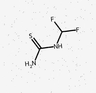 NC(=S)NC(F)F